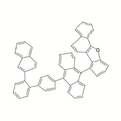 c1ccc(-c2ccc3ccccc3c2)c(-c2ccc(-c3c4ccccc4c(-c4cccc5oc6c7ccccc7ccc6c45)c4ccccc34)cc2)c1